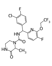 CC1C(=O)NCCN1C(=O)NC(c1ccc(F)c(Cl)c1)c1ccc(F)c(OCC(F)(F)F)n1